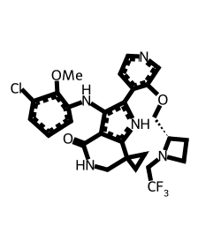 COc1c(Cl)cccc1Nc1c(-c2ccncc2OC[C@@H]2CCN2CC(F)(F)F)[nH]c2c1C(=O)NCC21CC1